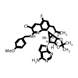 COc1ccc(CNc2nc3cc(CC(C)[C@@]45C[C@@H]4[C@@H](n4ccc6c(N)ncnc64)[C@@H]4OC(C)(C)O[C@@H]45)cc(F)c3cc2Cl)cc1